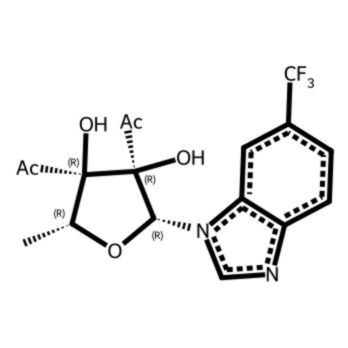 CC(=O)[C@@]1(O)[C@@H](C)O[C@@H](n2cnc3ccc(C(F)(F)F)cc32)[C@@]1(O)C(C)=O